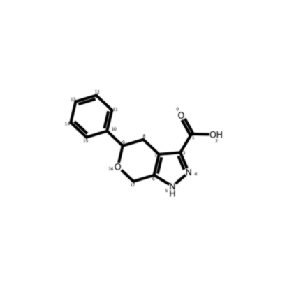 O=C(O)c1n[nH]c2c1CC(c1ccccc1)OC2